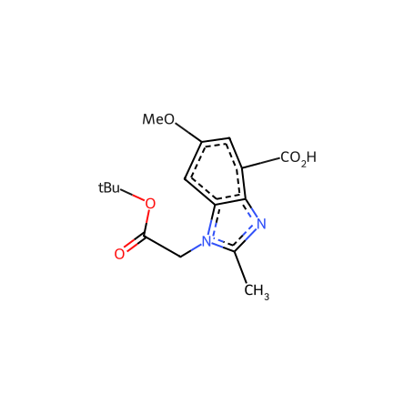 COc1cc(C(=O)O)c2nc(C)n(CC(=O)OC(C)(C)C)c2c1